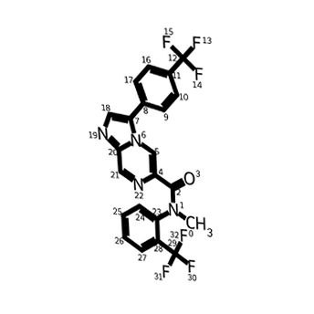 CN(C(=O)c1cn2c(-c3ccc(C(F)(F)F)cc3)cnc2cn1)c1ccccc1C(F)(F)F